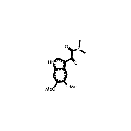 COc1cc2[nH]cc(C(=O)C(=O)N(C)C)c2cc1OC